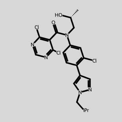 CC(C)Cn1cc(-c2ccc(N(C[C@@H](C)O)C(=O)c3c(Cl)ncnc3Cl)cc2Cl)cn1